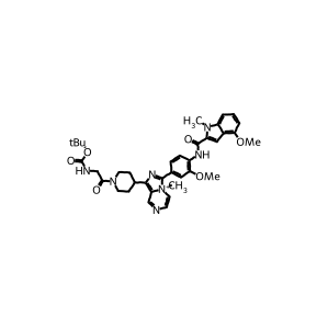 COc1cc(C2=NC(C3CCN(C(=O)CNC(=O)OC(C)(C)C)CC3)=C3C=NC=C[N+]23C)ccc1NC(=O)c1cc2c(OC)cccc2n1C